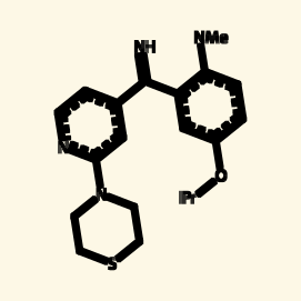 CNc1ccc(OC(C)C)cc1C(=N)c1ccnc(N2CCSCC2)c1